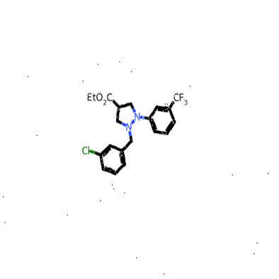 CCOC(=O)C1CN(Cc2cccc(Cl)c2)N(c2cccc(C(F)(F)F)c2)C1